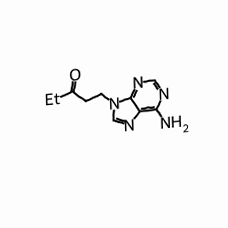 CCC(=O)CCn1cnc2c(N)ncnc21